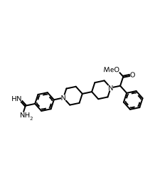 COC(=O)C(c1ccccc1)N1CCC(C2CCN(c3ccc(C(=N)N)cc3)CC2)CC1